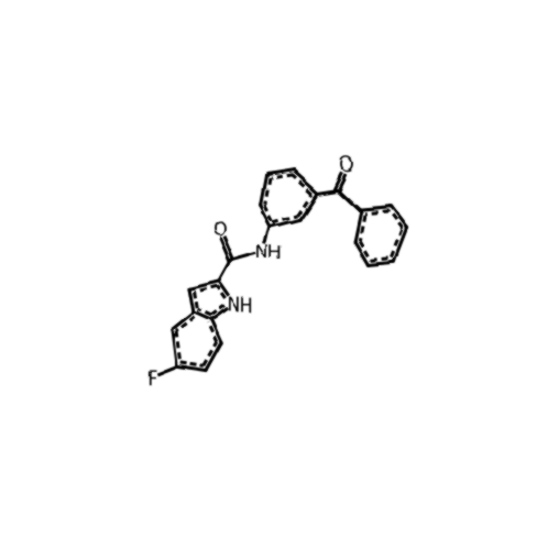 O=C(c1ccccc1)c1cccc(NC(=O)c2cc3cc(F)ccc3[nH]2)c1